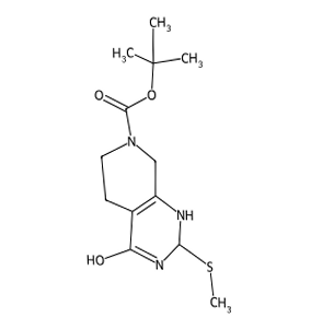 CSC1N=C(O)C2=C(CN(C(=O)OC(C)(C)C)CC2)N1